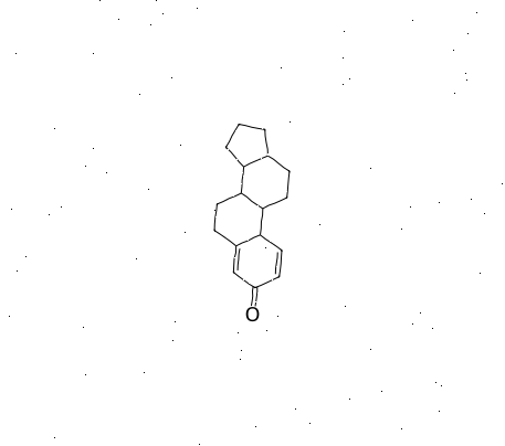 O=C1C=CC2C(=C1)CCC1C3CCCC3CCC21